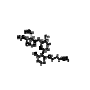 CCCCOc1cccc(F)c1-c1ccc(F)c(CN[C@@H](CO)C(C)C)n1